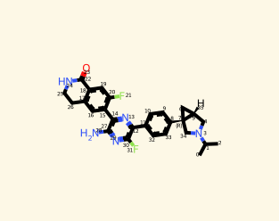 CC(C)N1C[C@H]2C[C@@]2(c2ccc(-c3nc(-c4cc5c(cc4F)C(=O)NCC5)c(N)nc3F)cc2)C1